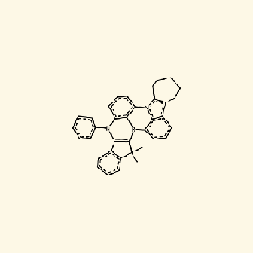 CC1(C)C2=C(c3ccccc31)N(c1ccccc1)c1cccc3c1B2c1cccc2c4c(n-3c12)CCCCC4